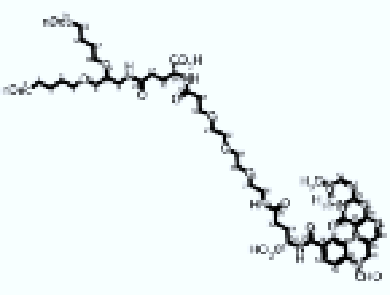 CCCCCCCCCCCCCCOCC(CNC(=O)CC[C@H](NC(=O)CCOCCOCCOCCNC(=O)CC[C@H](NC(=O)c1ccc(N(C=O)Cc2cnc3nc(/N=C\N(C)C)[nH]c(=O)c3n2)cc1)C(=O)O)C(=O)O)OCCCCCCCCCCCCCC